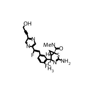 CNC(=O)[C@]12C[C@H]1[C@@](C)(c1cc(/C=C(\F)c3cnc(C#CCO)cn3)ccc1F)N=C(N)S2